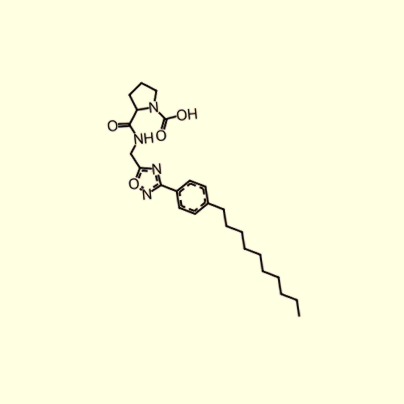 CCCCCCCCCCc1ccc(-c2noc(CNC(=O)C3CCCN3C(=O)O)n2)cc1